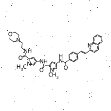 Cn1cc(NC(=O)c2cc(NC(=O)c3ccc(C=Cc4ccc5ccccc5n4)cc3)cn2C)cc1C(=O)NCCN1CCOCC1